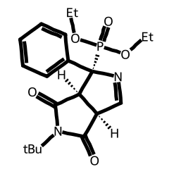 CCOP(=O)(OCC)[C@]1(c2ccccc2)N=C[C@H]2C(=O)N(C(C)(C)C)C(=O)[C@H]21